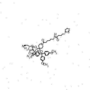 COc1ccc(C(OCC2(COP(OCCC#N)N(C(C)C)C(C)C)CCN(C(=O)CCCCCNC(=O)CCCC[C@@H]3CCSS3)CC2)(c2ccc(OC)cc2)c2ccc(OC)cc2)cc1